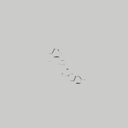 CCOC(=O)c1c(C(F)(F)F)nc(N2CC(C(=O)NS(=O)(=O)Cc3ccc(Cl)cc3Cl)C2)c(C#N)c1CC